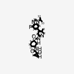 Cc1cnc(NC(=O)[C@H]2CCC[C@@H](NC(=O)C3(O)CC3)C2)cc1-c1cc(F)c2ncn(C(C)C)c2c1